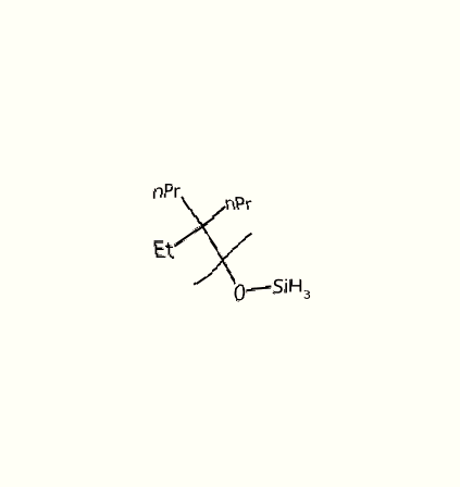 CCCC(CC)(CCC)C(C)(C)O[SiH3]